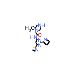 CC1CNCCN1CC(=O)Nc1cc(-c2nccs2)nc(-c2ccccn2)n1